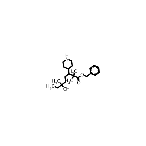 CCC(C)(C)CCC(C1CCNCC1)C(C)(C)C(=O)OCc1ccccc1